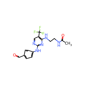 CC(=O)NCCNc1nc(Nc2ccc(C=O)cc2)ncc1C(F)(F)F